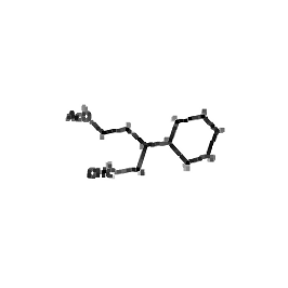 CC(=O)OCCC(CC=O)C1CCCCC1